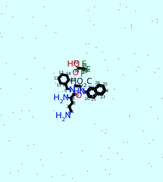 NCCC[C@@H](N)C(=O)N(CC1CCCCC1)[C@@H](CNc1ccc2ccccc2c1)C(=O)O.O=C(O)C(F)(F)F